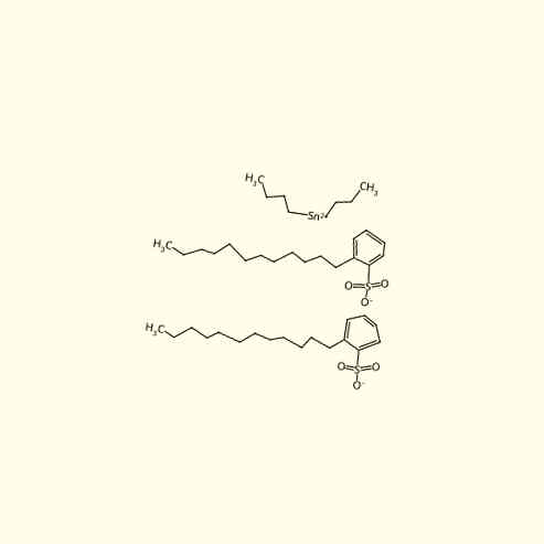 CCCCCCCCCCCCc1ccccc1S(=O)(=O)[O-].CCCCCCCCCCCCc1ccccc1S(=O)(=O)[O-].CCC[CH2][Sn+2][CH2]CCC